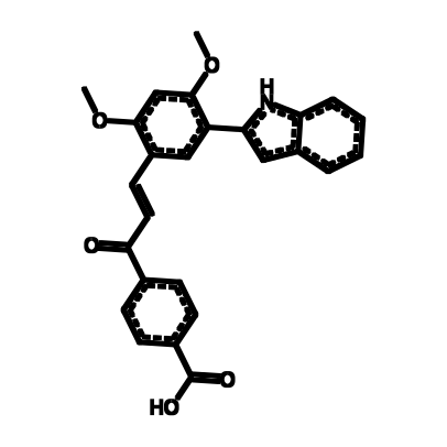 COc1cc(OC)c(-c2cc3ccccc3[nH]2)cc1C=CC(=O)c1ccc(C(=O)O)cc1